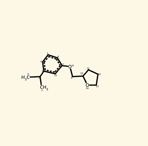 CC(C)c1cccc(OCC2CCCO2)c1